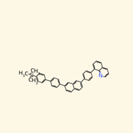 C[Si](C)(C)c1ccc(-c2ccc(-c3ccc4ccc(-c5ccc(-c6cccc7cccnc67)cc5)cc4c3)cc2)cc1